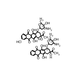 CC(=O)[C@]1(O)Cc2c(O)c3c(c(O)c2[C@@H](O[C@H]2C[C@H](N)[C@H](O)[C@H](C)O2)C1)C(=O)c1ccccc1C3=O.CC(=O)[C@]1(O)Cc2c(O)c3c(c(O)c2[C@@H](O[C@H]2C[C@H](N)[C@H](O)[C@H](C)O2)C1)C(=O)c1ccccc1C3=O.Cl